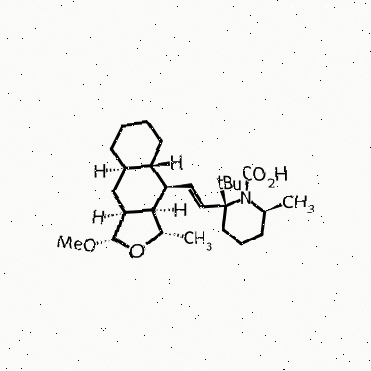 CO[C@H]1O[C@@H](C)[C@@H]2[C@H](C=C[C@@]3(C(C)(C)C)CCC[C@H](C)N3C(=O)O)[C@H]3CCCC[C@@H]3C[C@H]12